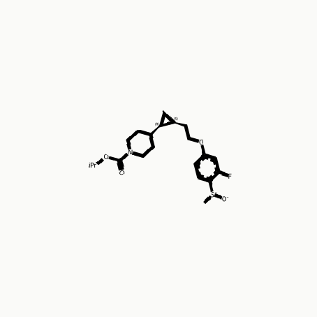 CC(C)OC(=O)N1CCC([C@H]2C[C@H]2CCOc2ccc([S+](C)[O-])c(F)c2)CC1